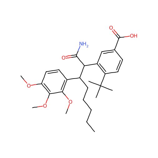 CCCCCC(c1ccc(OC)c(OC)c1OC)C(C(N)=O)c1cc(C(=O)O)ccc1C(C)(C)C